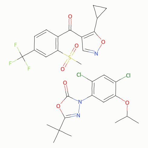 CC(C)Oc1cc(-n2nc(C(C)(C)C)oc2=O)c(Cl)cc1Cl.CS(=O)(=O)c1cc(C(F)(F)F)ccc1C(=O)c1cnoc1C1CC1